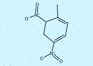 CC1=CC=C([N+](=O)[O-])CC1[N+](=O)[O-]